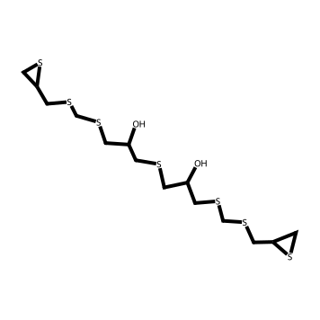 OC(CSCSCC1CS1)CSCC(O)CSCSCC1CS1